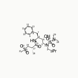 CC(C)CN(C[C@@H](O)[C@H](Cc1ccccc1)NC(=O)[C@H](C)CS(C)(=O)=O)S(=O)(=O)N(C)C